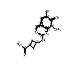 Cn1c(=O)c(Br)cc2cnc(NC3CC(C(N)=O)C3)nc21